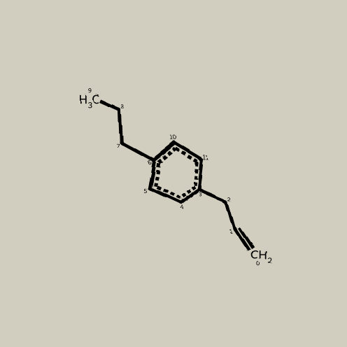 C=CCc1ccc(CCC)cc1